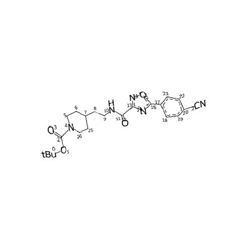 CC(C)(C)OC(=O)N1CCC(CCNC(=O)c2noc(-c3ccc(C#N)cc3)n2)CC1